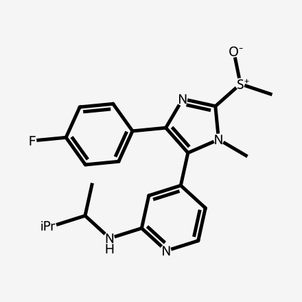 CC(C)C(C)Nc1cc(-c2c(-c3ccc(F)cc3)nc([S+](C)[O-])n2C)ccn1